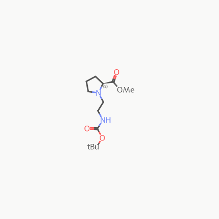 COC(=O)[C@@H]1CCCN1CCNC(=O)OC(C)(C)C